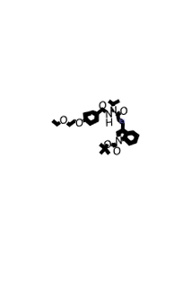 CCOCCOc1ccc(C(=O)NN(C(=O)/C=C/c2cn(C(=O)OC(C)(C)C)c3ccccc23)C(C)C)cc1